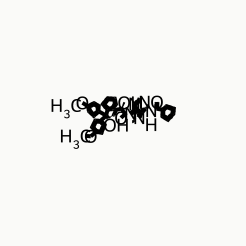 COc1ccc(C(c2ccccc2)(c2ccc(OC)cc2)C(O)[C@@H]2C[C@@H](O)[C@H](n3cnc4c(NC(=O)c5ccccc5)ncnc43)O2)cc1